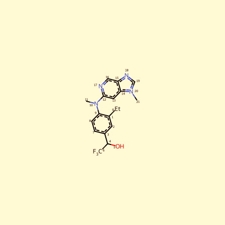 CCc1cc(C(O)C(F)(F)F)ccc1N(C)c1cc2c(cn1)ncn2C